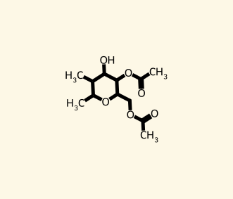 CC(=O)OCC1OC(C)C(C)C(O)C1OC(C)=O